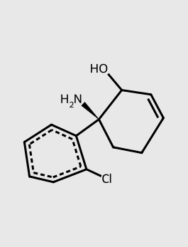 N[C@]1(c2ccccc2Cl)CCC=CC1O